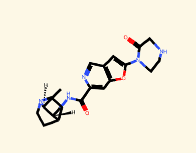 C[C@H]1[C@H](NC(=O)c2cc3oc(N4CCNCC4=O)cc3cn2)C2CCN1CC2